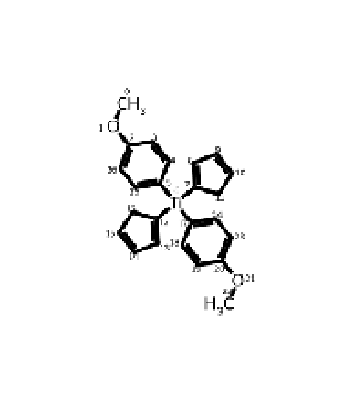 COc1cc[c]([Ti]([C]2=CC=CC2)([C]2=CC=CC2)[c]2ccc(OC)cc2)cc1